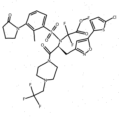 Cc1c(N2CCCC2=O)cccc1S(=O)(=O)N([C@@H](Cc1cc(-c2ccc(Cl)s2)on1)C(=O)N1CCN(CC(F)(F)F)CC1)C(F)(F)C(=O)OF